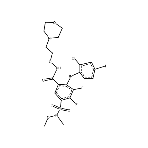 CON(C)S(=O)(=O)c1cc(C(=O)NOCCN2CCOCC2)c(Nc2ccc(I)cc2Cl)c(F)c1F